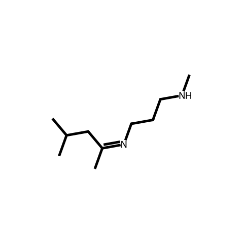 CNCCCN=C(C)CC(C)C